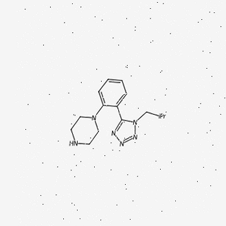 CC(C)Cn1nnnc1-c1ccccc1N1CCNCC1